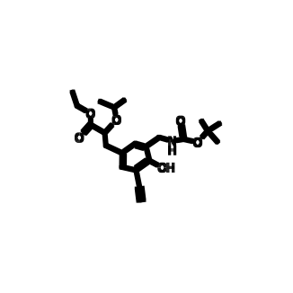 C#Cc1cc(CC(OC(C)C)C(=O)OCC)cc(CNC(=O)OC(C)(C)C)c1O